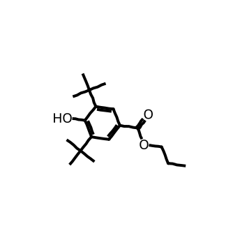 CCCOC(=O)c1cc(C(C)(C)C)c(O)c(C(C)(C)C)c1